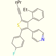 CCCC#Cc1sc(C2=CCC(F)C=C2)c(-c2ccncc2)c1-c1ccccc1CC